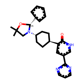 CC1(C)CN([C@H]2CC[C@H](c3cc(-c4ncccn4)c[nH]c3=O)CC2)[C@@H](c2ccccc2)O1